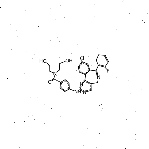 O=C(c1ccc(Nc2ncc3c(n2)-c2ccc(Cl)cc2C(C2=C(F)C=CCC2)=NC3)cc1)N(CCO)CCO